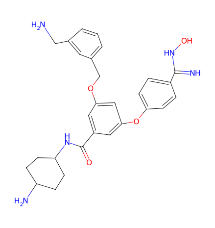 N=C(NO)c1ccc(Oc2cc(OCc3cccc(CN)c3)cc(C(=O)NC3CCC(N)CC3)c2)cc1